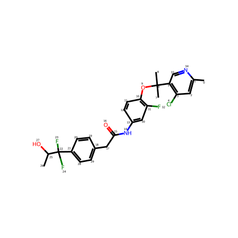 Cc1cc(Cl)c(C(C)(C)Oc2ccc(NC(=O)Cc3ccc(C(F)(F)C(C)O)cc3)cc2F)cn1